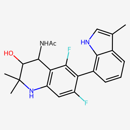 CC(=O)NC1c2c(cc(F)c(-c3cccc4c(C)c[nH]c34)c2F)NC(C)(C)C1O